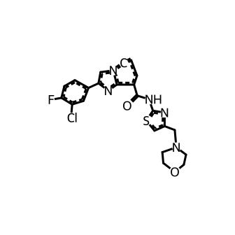 O=C(Nc1nc(CN2CCOCC2)cs1)c1cccn2cc(-c3ccc(F)c(Cl)c3)nc12